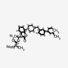 C=C/C=C(\C=C/C)c1cccc(CN2CCN(c3cccc4c3oc(=O)n4C(C)OC(=O)N(C)NC)CC2)c1